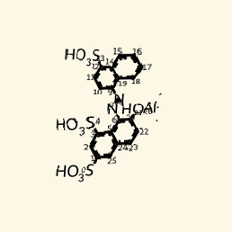 O=S(=O)(O)c1cc(S(=O)(=O)O)c2c(N=Nc3ccc(S(=O)(=O)O)c4ccccc34)c(O)ccc2c1.[Al]